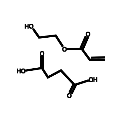 C=CC(=O)OCCO.O=C(O)CCC(=O)O